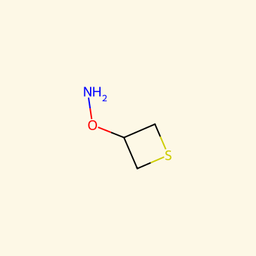 NOC1CSC1